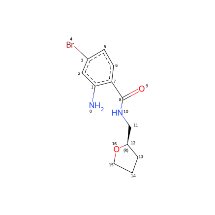 Nc1cc(Br)ccc1C(=O)NC[C@H]1CCCO1